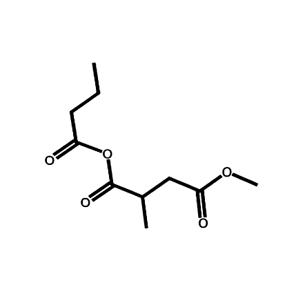 CCCC(=O)OC(=O)C(C)CC(=O)OC